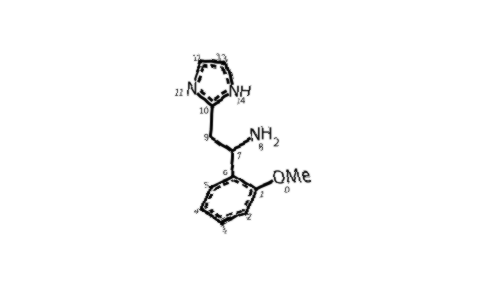 COc1ccccc1C(N)Cc1ncc[nH]1